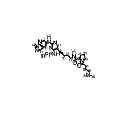 CCCNc1nc(Nc2cnc3c(cnn3C)c2)ncc1C#CCCCNC(=O)[C@@H]1CCCN1C(=O)C=CCN(C)C